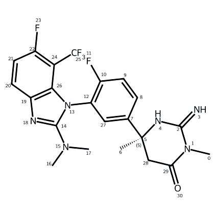 CN1C(=N)N[C@](C)(c2ccc(F)c(-n3c(N(C)C)nc4ccc(F)c(C(F)(F)F)c43)c2)CC1=O